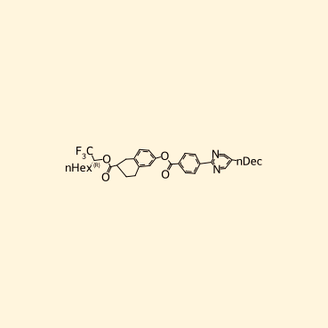 CCCCCCCCCCc1cnc(-c2ccc(C(=O)Oc3ccc4c(c3)CCC(C(=O)O[C@H](CCCCCC)C(F)(F)F)C4)cc2)nc1